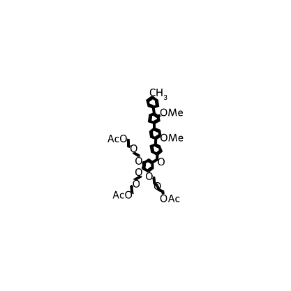 COc1cc(-c2ccc(-c3ccc(C(=O)c4cc(OCCOCCOC(C)=O)c(OCCOCCOC(C)=O)c(OCCOCCOC(C)=O)c4)cc3)c(OC)c2)ccc1-c1ccc(C)cc1